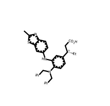 CC[C@@H](CC(=O)O)c1ccc(N(CC(C)C)CC(C)C)c(Nc2ccc3nc(C)sc3c2)c1